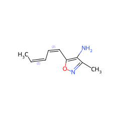 C/C=C\C=C/c1onc(C)c1N